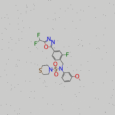 COc1cccc(N(Cc2ccc(-c3nnc(C(F)F)o3)cc2F)S(=O)(=O)N2CCSCC2)c1